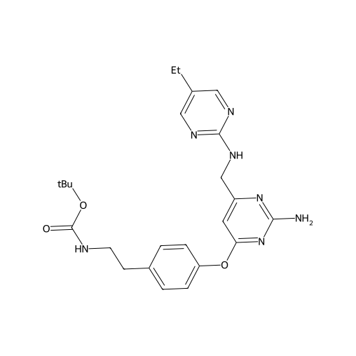 CCc1cnc(NCc2cc(Oc3ccc(CCNC(=O)OC(C)(C)C)cc3)nc(N)n2)nc1